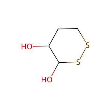 OC1CCSSC1O